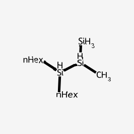 CCCCCC[SiH](CCCCCC)[SiH](C)[SiH3]